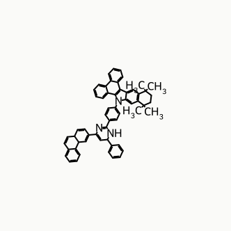 CC1(C)CCC(C)(C)c2cc3c(cc21)c1c2ccccc2c2ccccc2c1n3-c1ccc(C2=NC(C3=CC4c5ccccc5C=CC4C=C3)=CC(c3ccccc3)N2)cc1